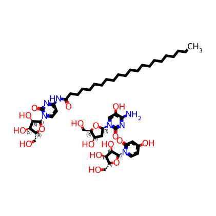 CCCCCCCCCCCCCCCCCCCCCC(=O)Nc1ccn([C@@H]2O[C@H](CO)[C@@H](O)[C@@H]2O)c(=O)n1.Nc1nc(=O)n([C@H]2C[C@H](O)[C@@H](CO)O2)cc1O.O=c1cc(O)ccn1[C@@H]1O[C@H](CO)[C@@H](O)[C@H]1O